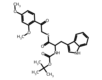 COc1ccc(C(=O)CSC(=O)C(Cc2c[nH]c3ccccc23)NC(=O)OC(C)(C)C)c(OC)c1